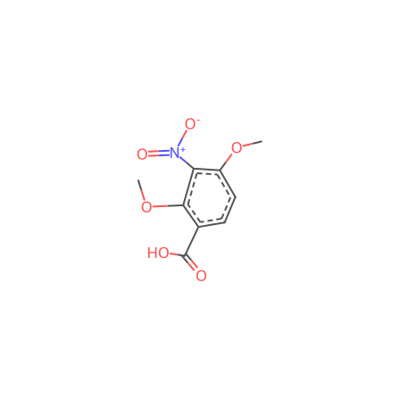 COc1ccc(C(=O)O)c(OC)c1[N+](=O)[O-]